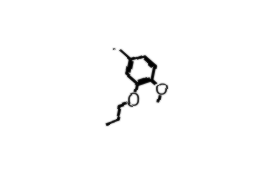 [CH2]c1ccc(OC)c(OCCC)c1